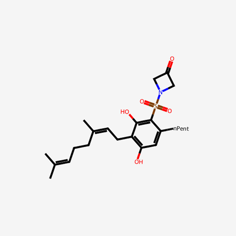 CCCCCc1cc(O)c(CC=C(C)CCC=C(C)C)c(O)c1S(=O)(=O)N1CC(=O)C1